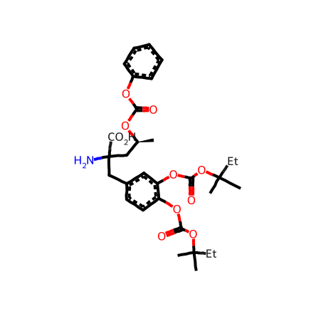 CCC(C)(C)OC(=O)Oc1ccc(CC(N)(C[C@H](C)OC(=O)Oc2ccccc2)C(=O)O)cc1OC(=O)OC(C)(C)CC